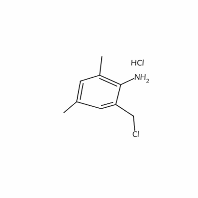 Cc1cc(C)c(N)c(CCl)c1.Cl